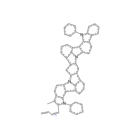 C=C/C=C\c1c(C)c2ccc3c(c4cccc5c6cc7c(cc6n3c54)c3cccc4c5c6c(ccc5n7c34)c3ccccc3n6-c3ccccc3)c2n1-c1ccccc1